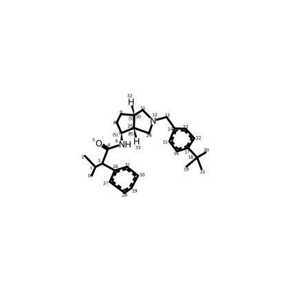 CC(C)C(C(=O)N[C@H]1CC[C@@H]2CN(Cc3ccc(C(C)(C)C)cc3)C[C@@H]21)c1ccccc1